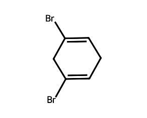 BrC1=CCC=C(Br)C1